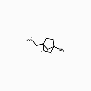 COCC12CCC(N)(CO1)C2